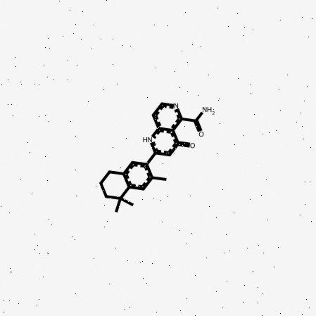 Cc1cc2c(cc1-c1cc(=O)c3c(C(N)=O)nccc3[nH]1)CCCC2(C)C